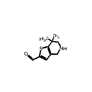 CC1(C)CNCc2cc(C=O)sc21